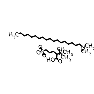 CCCCCCCCCCCCCCCCCCN(C)C.C[N+](C)(C)C(CCCS(=O)(=O)[O-])C(=O)O